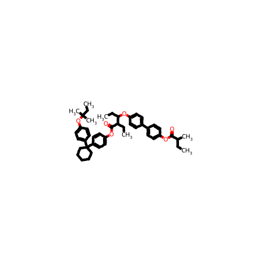 CCC(C)C(=O)Oc1ccc(-c2ccc(OC(CC)C(CC)C(=O)Oc3ccc(C4(c5ccc(OC(C)(C)CC)cc5)CCCCC4)cc3)cc2)cc1